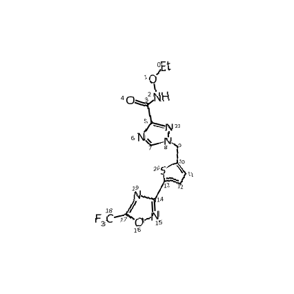 CCONC(=O)c1ncn(Cc2ccc(-c3noc(C(F)(F)F)n3)s2)n1